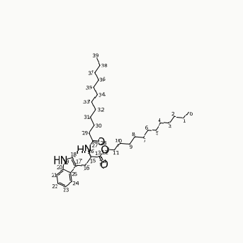 CCCCCCCCCCCCOC(=O)C(Cc1c[nH]c2ccccc12)NC(=O)CCCCCCCCCCC